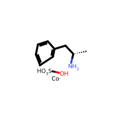 C[C@H](N)Cc1ccccc1.O=S(=O)(O)O.[Co]